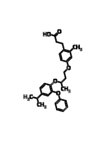 Cc1cc(OCCC(C)Oc2ccc(C(C)C)cc2Oc2ccccc2)ccc1CCC(=O)O